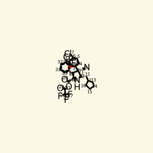 N#C[C@]1(c2ccc(Cl)cc2)[C@H](CC2CCCC2)N[C@@H](C(=O)OC(=O)C(F)(F)F)[C@@H]1c1cccc(Cl)c1F